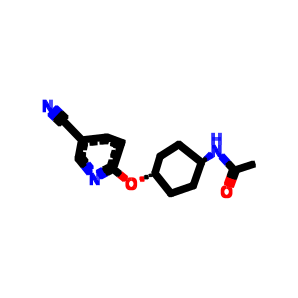 CC(=O)N[C@H]1CC[C@H](Oc2ccc(C#N)cn2)CC1